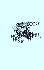 CCCCCOC(=O)Nc1nc(=O)n([C@@H]2O[C@H](C)[C@@H](O)[C@H]2O)cc1F.CN(Cc1cnc2nc(N)nc(N)c2n1)c1ccc(C(=O)N[C@@H](CCC(=O)[O-])C(=O)O)cc1.[Na+]